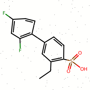 CCc1cc(-c2ccc(F)cc2F)ccc1S(=O)(=O)O